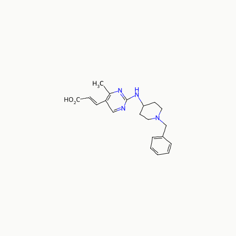 Cc1nc(NC2CCN(Cc3ccccc3)CC2)ncc1/C=C/C(=O)O